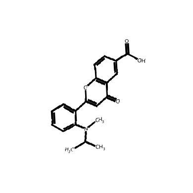 CC(C)N(C)c1ccccc1-c1cc(=O)c2cc(C(=O)O)ccc2o1